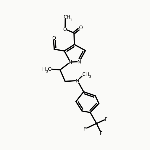 COC(=O)c1cnn(C(C)CN(C)c2ccc(C(F)(F)F)cc2)c1C=O